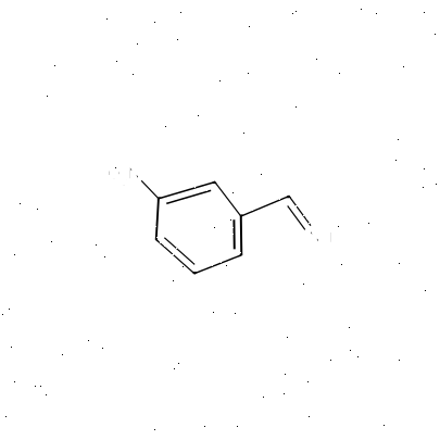 N=Cc1cccc([N+](=O)[O-])c1